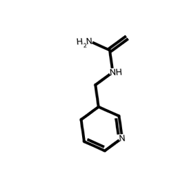 C=C(N)NCC1C=NC=CC1